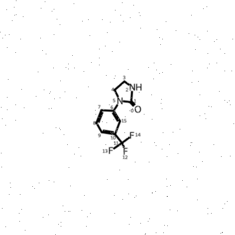 O=C1NCCN1c1cccc(C(F)(F)F)c1